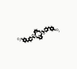 O=C(CN1Cc2cccc(n2)CN(CC(=O)N2CCC(Cc3ccc([N+](=O)[O-])cc3)CC2)Cc2cccc(n2)C1)N1CCC(Cc2ccc([N+](=O)[O-])cc2)CC1